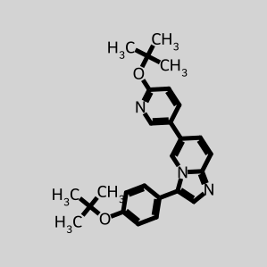 CC(C)(C)Oc1ccc(-c2cnc3ccc(-c4ccc(OC(C)(C)C)nc4)cn23)cc1